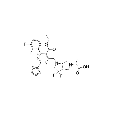 CCOC(=O)C1=C(CN2CC(F)(F)C3CN(C(C)C(=O)O)CC32)NC(c2nccs2)=N[C@H]1c1cccc(F)c1C